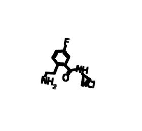 Cl.NCCc1ccc(F)cc1C(=O)NC1CC1